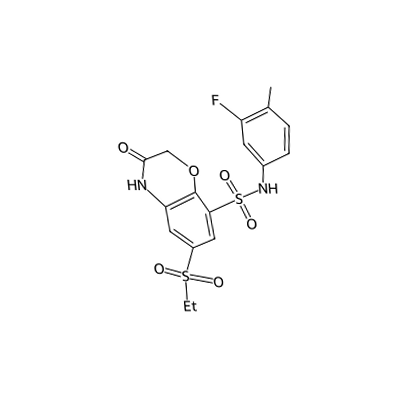 CCS(=O)(=O)c1cc2c(c(S(=O)(=O)Nc3ccc(C)c(F)c3)c1)OCC(=O)N2